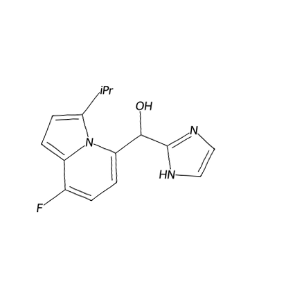 CC(C)c1ccc2c(F)ccc(C(O)c3ncc[nH]3)n12